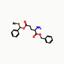 CC(=O)SC(OC(=O)CCC(N)C(=O)OCc1ccccc1)c1ccccc1